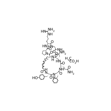 CC(=O)O.N=C(N)NCCC[C@H](NC(=O)[C@@H]1CCCN1C(=O)[C@@H]1CSSCCC(=O)N[C@@H](Cc2ccc(O)cc2)C(=O)N[C@@H](Cc2ccccc2)C(=O)N[C@@H](CCC(N)=O)C(=O)N[C@@H](CC(N)=O)C(=O)N1)C(=O)NCC(N)=O